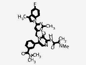 CN[C@@H](C)C(=O)Nc1ncc(-c2cccc(C(=O)N(C)C)c2)n(Cc2cc(-n3cc(C)c4cc(F)ccc43)nc(C)n2)c1=O